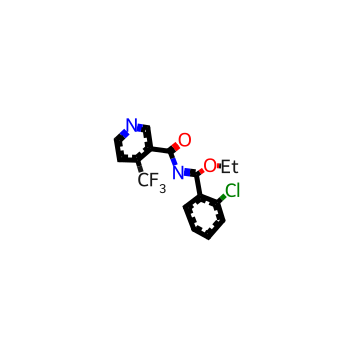 CCOC(=NC(=O)c1cnccc1C(F)(F)F)c1ccccc1Cl